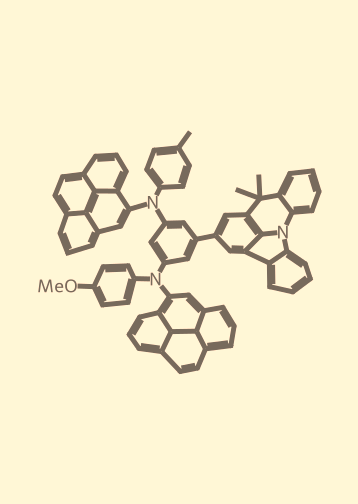 COc1ccc(N(C2=C3C=CC=C4C=CC5=CC=CC(=C2)C5C43)c2cc(-c3cc4c5c(c3)c3ccccc3n5-c3ccccc3C4(C)C)cc(N(c3ccc(C)cc3)c3cc4cccc5ccc6cccc3c6c54)c2)cc1